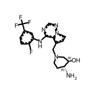 N[C@@H]1CCN(Cc2ccn3ncnc(Nc4cc(C(F)(F)F)ccc4F)c23)C[C@H]1O